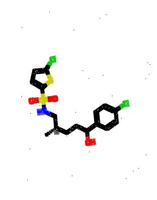 C[C@@H](CCC(O)c1ccc(Cl)cc1)CNS(=O)(=O)c1ccc(Cl)s1